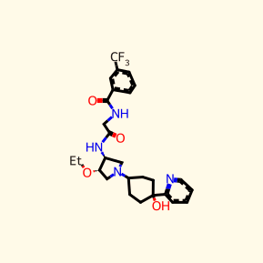 CCO[C@H]1CN(C2CCC(O)(c3ccccn3)CC2)C[C@@H]1NC(=O)CNC(=O)c1cccc(C(F)(F)F)c1